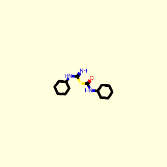 N=C(NC1CCCCC1)SC(=O)NC1CCCCC1